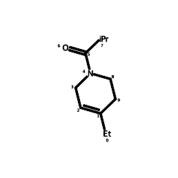 CCC1=CCN(C(=O)C(C)C)CC1